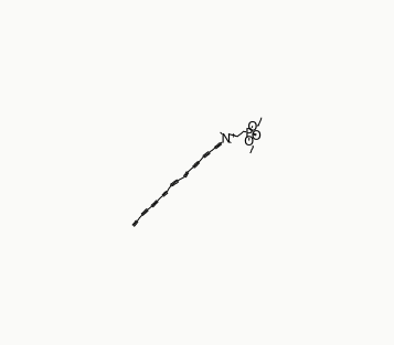 C#CC#CC#CC#CC#CC#CC#CC#CC#C[N+](C)(C)CCCP(=O)(OCC)OCC